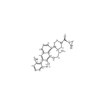 O=C([C@H]1CN1)N1CCN2c3ncnc4cc(-c5c(O)cccc5F)c(Cl)c(c34)OCC[C@@H]2C1